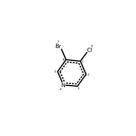 Clc1[c]cncc1Br